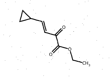 CCOC(=O)C(=O)/C=C/C1CC1